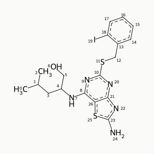 CC(C)CC(CO)Nc1nc(SCc2ccccc2I)nc2nc(N)sc12